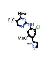 CNc1nc(Nc2cc(OC)c(-c3ccnn3C)cc2Cl)ncc1C(F)(F)F